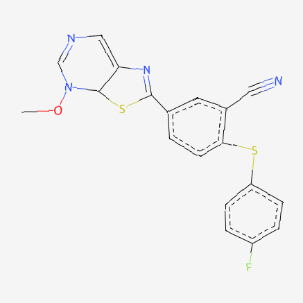 CON1C=NC=C2N=C(c3ccc(Sc4ccc(F)cc4)c(C#N)c3)SC21